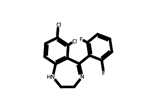 Fc1cccc(F)c1C1=NCCNc2ccc(Cl)c(Cl)c21